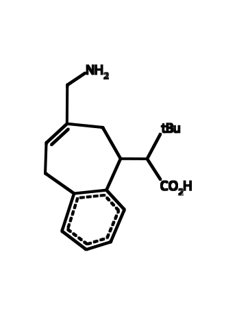 CC(C)(C)C(C(=O)O)C1CC(CN)=CCc2ccccc21